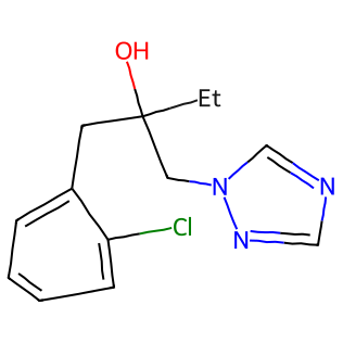 CCC(O)(Cc1ccccc1Cl)Cn1cncn1